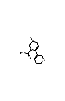 C[C@H]1CC=C(C2=CCCOC2)N(C(=O)O)C1